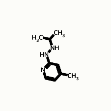 Cc1ccnc(NNC(C)C)c1